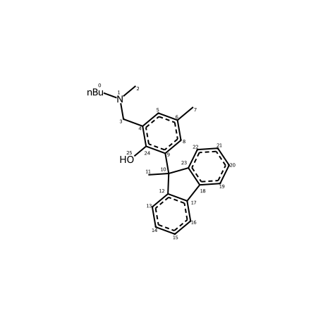 CCCCN(C)Cc1cc(C)cc(C2(C)c3ccccc3-c3ccccc32)c1O